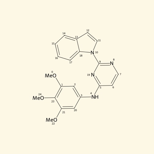 COc1cc(Nc2ccnc(-n3ccc4ccccc43)n2)cc(OC)c1OC